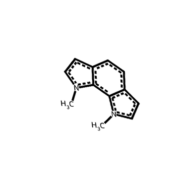 Cn1ccc2ccc3ccn(C)c3c21